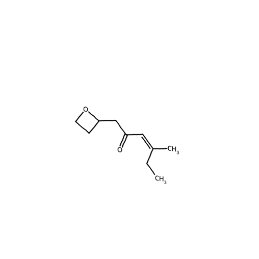 CCC(C)=CC(=O)CC1CCO1